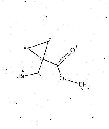 COC(=O)C1(CBr)CC1